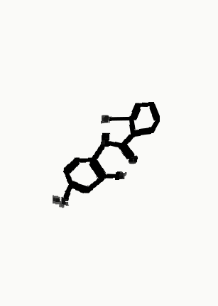 Cc1ccc(NC(=O)c2ccccc2Br)c(Br)c1